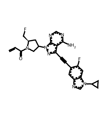 C=CC(=O)N1CC(n2nc(C#Cc3cc4ncn(C5CC5)c4cc3F)c3c(N)ncnc32)C[C@@H]1CF